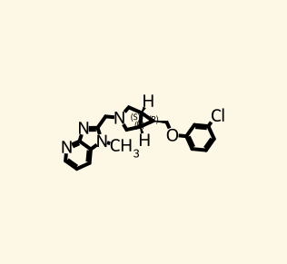 Cn1c(CN2C[C@@H]3[C@@H](COc4cccc(Cl)c4)[C@@H]3C2)nc2ncccc21